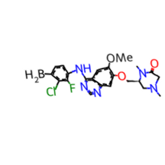 Bc1ccc(Nc2ncnc3cc(OC[C@@H]4CN(C)CC(=O)N4C)c(OC)cc23)c(F)c1Cl